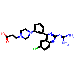 NC(N)=Nc1nc(-c2cccc(N3CCN(CCC(=O)O)CC3)c2)c2cc(Cl)ccc2n1